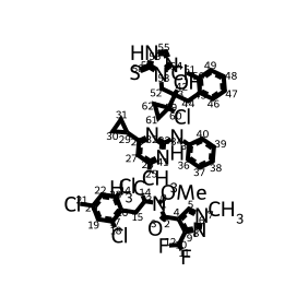 CON(C(=O)c1cn(C)nc1C(F)F)C(C)Cc1c(Cl)cc(Cl)cc1Cl.Cc1cc(C2CC2)nc(Nc2ccccc2)n1.OC(Cc1ccccc1Cl)(Cn1nc[nH]c1=S)C1(Cl)CC1